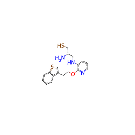 NC(CS)CNc1cccnc1OCCc1csc2ccccc12